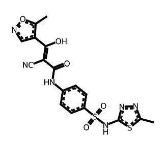 Cc1nnc(NS(=O)(=O)c2ccc(NC(=O)/C(C#N)=C(\O)c3cnoc3C)cc2)s1